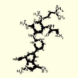 C=CC(=O)Nc1cc(Nc2nccc(-c3cc(C#N)c4c(c3)c(C)cn4C)n2)c(OC)nc1N(C)CCN(C)C